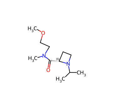 COCCN(C)C(=O)[C@@H]1CCN1C(C)C